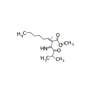 CCCCC/C=C(\C(=N)C(=O)C(C)C)C(=O)OC